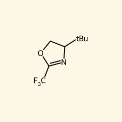 CC(C)(C)C1COC(C(F)(F)F)=N1